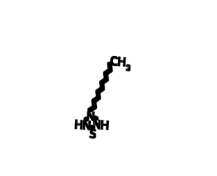 CCCCCCCCCCCCN1CNC(=S)NC1